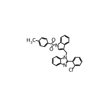 Cc1ccc(S(=O)(=O)n2cc(Cn3c(-c4ccccc4Cl)nc4ccccc43)c3ccccc32)cc1